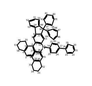 CC(C)c1ccc2c(c1-c1cc3c(cc1N(c1ccc(-c4ccccc4)cc1)c1ccc4c(c1)CCCC4)C(c1ccccc1)(c1ccccc1)c1ccccc1-3)CCCC2